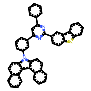 c1ccc(-c2cc(-c3cccc(-n4c5ccc6ccccc6c5c5c6ccccc6ccc54)c3)nc(-c3ccc4sc5ccccc5c4c3)n2)cc1